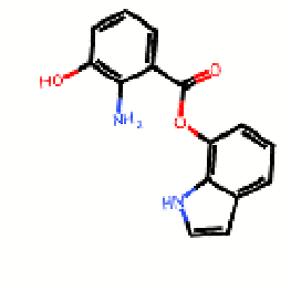 Nc1c(O)cccc1C(=O)Oc1cccc2cc[nH]c12